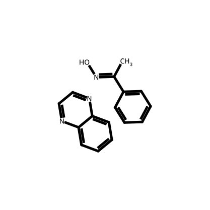 CC(=NO)c1ccccc1.c1ccc2nccnc2c1